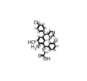 Cl.Cn1cncc1C(c1ccc(Cl)cc1)c1ccc(N)c(C(SCC(=O)O)c2cccc(Cl)c2)c1